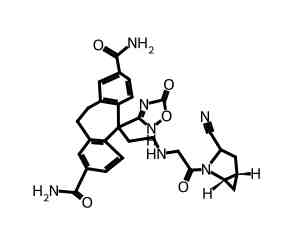 N#CC1C[C@@H]2C[C@@H]2N1C(=O)CNCCC1(c2nc(=O)o[nH]2)c2ccc(C(N)=O)cc2CCc2cc(C(N)=O)ccc21